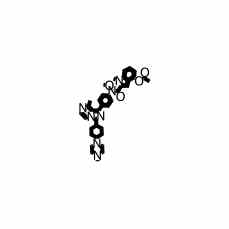 CON(C(=O)c1cc2c(OC(C)=O)cccc2n1C)c1ccc(-c2nc(C3CCC(N4CCN(C)CC4)CC3)n3ccnc(C)c23)cc1